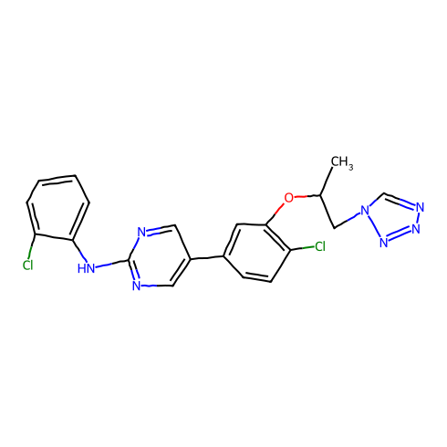 CC(Cn1cnnn1)Oc1cc(-c2cnc(Nc3ccccc3Cl)nc2)ccc1Cl